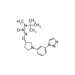 CN(/[N+]([O-])=N/O[C@@H]1CCN(c2cccc(-n3ccnn3)c2)C1)C(C)(C)C